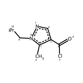 Cc1c(C(=O)Cl)cnn1CC(C)C